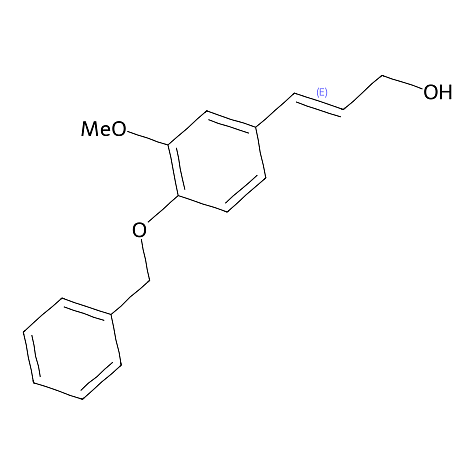 COc1cc(/C=C/CO)ccc1OCc1ccccc1